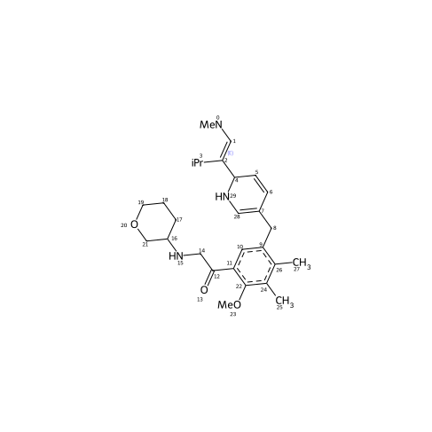 CN/C=C(\C(C)C)C1C=CC(Cc2cc(C(=O)CNC3CCCOC3)c(OC)c(C)c2C)=CN1